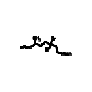 CCCCCCCCCCCC(Br)(Br)C[CH]C(C)CCCCC